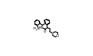 Nc1ccccc1C1NC(=O)C(CCN2CCOCC2)c2ccccc21